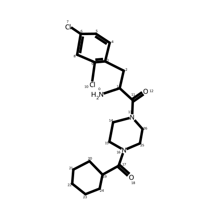 NC(Cc1ccc(Cl)cc1Cl)C(=O)N1CCN(C(=O)C2CCCCC2)CC1